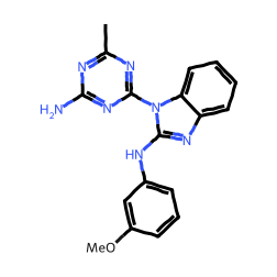 COc1cccc(Nc2nc3ccccc3n2-c2nc(C)nc(N)n2)c1